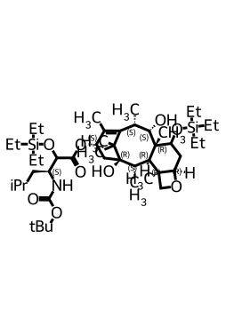 CC[Si](CC)(CC)OC(C(=O)O[C@H]1C[C@@]2(O)[C@@H](C)[C@@H]3[C@]4(C)CO[C@@H]4CC(O[Si](CC)(CC)CC)[C@@]3(C)[C@@H](O)[C@@H](C)C(=C1C)C2(C)C)[C@H](CC(C)C)NC(=O)OC(C)(C)C